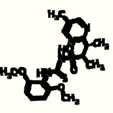 COc1cccc(OC)c1NC(=S)NS(=O)(=O)[C@H](C)[C@@H](C)c1ncc(C)cn1